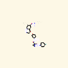 COc1cc2nccc(Oc3ccc(NC(=O)C4(C(=O)Nc5ccc(F)cc5)CC4)cc3)c2cc1C(=O)N(C)OC